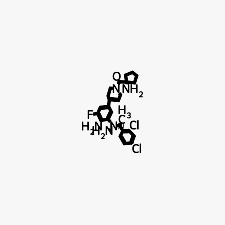 C[C@H](c1ccc(Cl)cc1Cl)N(N)c1cc(C2=CCN(C(=O)C3(N)CCCC3)CC2)cc(F)c1N